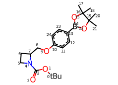 CC(C)(C)OC(=O)N1CCC1COc1ccc(B2OC(C)(C)C(C)(C)O2)cc1